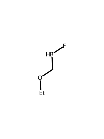 CCOCBF